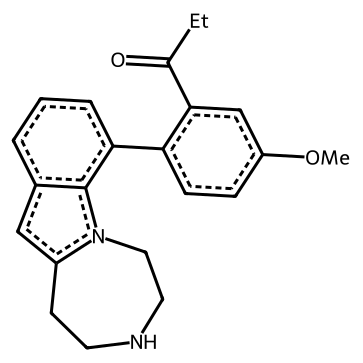 CCC(=O)c1cc(OC)ccc1-c1cccc2cc3n(c12)CCNCC3